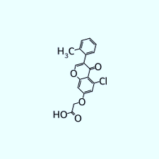 Cc1ccccc1-c1coc2cc(OCC(=O)O)cc(Cl)c2c1=O